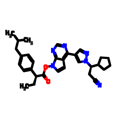 CC[C@H](C(=O)On1ccc2c(-c3cnn([C@H](CC#N)C4CCCC4)c3)ncnc21)c1ccc(CC(C)C)cc1